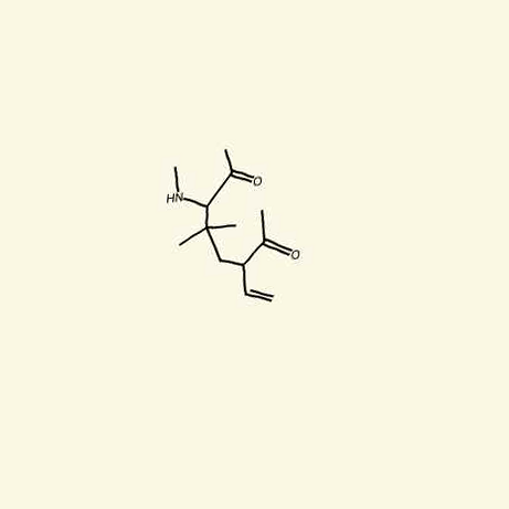 C=CC(CC(C)(C)C(NC)C(C)=O)C(C)=O